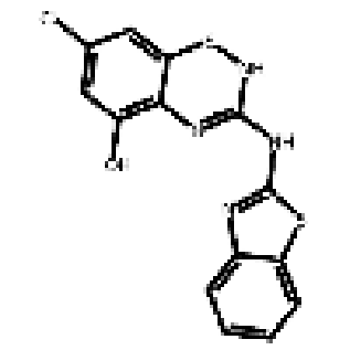 Oc1cc(Cl)cc2c1N=C(Nc1nc3ccccc3s1)NS2